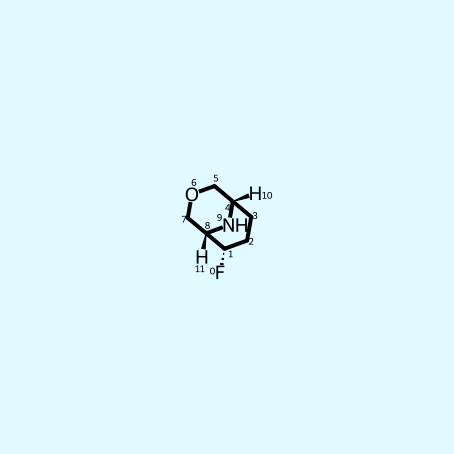 F[C@H]1CC[C@H]2COC[C@@H]1N2